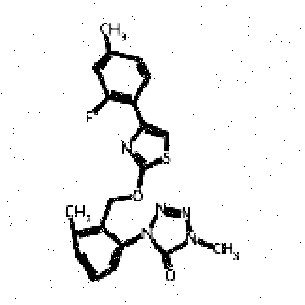 Cc1ccc(-c2csc(OCc3c(C)cccc3-n3nnn(C)c3=O)n2)c(F)c1